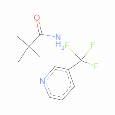 CC(C)(C)C(N)=O.FC(F)(F)c1cccnc1